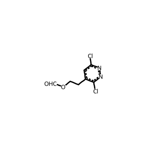 O=COCCc1cc(Cl)nnc1Cl